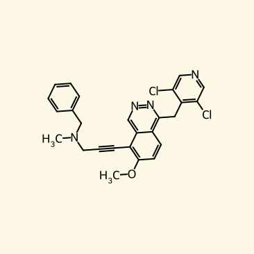 COc1ccc2c(Cc3c(Cl)cncc3Cl)nncc2c1C#CCN(C)Cc1ccccc1